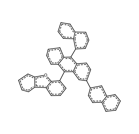 c1ccc2cc(-c3ccc4c(-c5cccc6ccccc56)c5ccccc5c(-c5cccc6c5oc5ccccc56)c4c3)ccc2c1